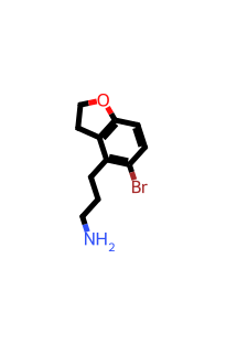 NCCCc1c(Br)ccc2c1CCO2